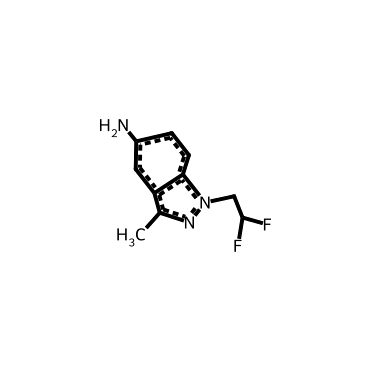 Cc1nn(CC(F)F)c2ccc(N)cc12